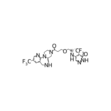 C[C@@H](COCCC(=O)N1CCN2C(=CNCc3cc(C(F)(F)F)cnc32)C1)Nc1cn[nH]c(=O)c1C(F)(F)F